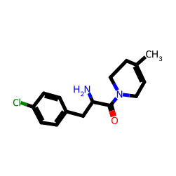 CC1=CCN(C(=O)C(N)Cc2ccc(Cl)cc2)CC1